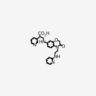 O=C(O)C(CNc1ccc2c(c1)OCC(=O)N2CCNc1ccccn1)c1cccnc1